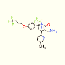 Cc1ccc(C2=C(CN)C(=O)N[C@@](c3ccc(OCCCC(F)(F)F)cc3)(C(F)(F)F)C2)nc1